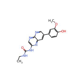 CCNC(=O)Nc1cnc2ncc(-c3ccc(O)c(OC)c3)cc2n1